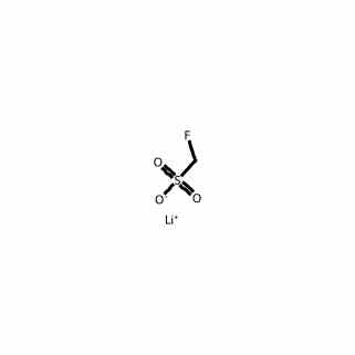 O=S(=O)([O-])CF.[Li+]